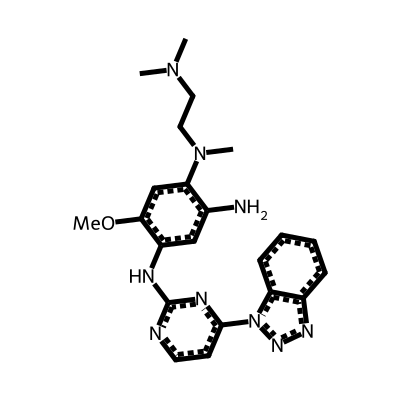 COc1cc(N(C)CCN(C)C)c(N)cc1Nc1nccc(-n2nnc3ccccc32)n1